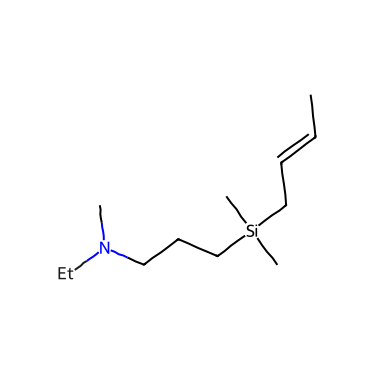 C/C=C/C[Si](C)(C)CCCN(C)CC